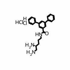 Cl.Cl.NC[C@@H](N)CCCNC(=O)c1cc(-c2ccccc2)cc(-c2ccccc2)c1